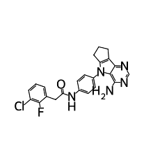 Nc1ncnc2c3c(n(-c4ccc(NC(=O)Cc5cccc(Cl)c5F)cc4)c12)CCC3